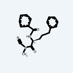 CN(C#N)C(=O)[C@H](CCCc1ccccc1)NC(=O)c1ccccc1